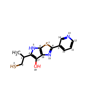 CC(CS)c1[nH]c2sc(-c3cccnc3)nc2c1O